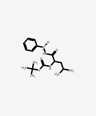 CC(C)CC(NC(=O)OC(C)(C)C)C(=O)N[S@+]([O-])c1ccccc1